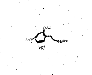 CNCCc1ccc(OC(C)=O)cc1OC(C)=O.Cl